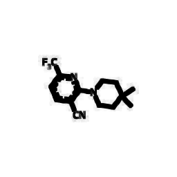 CC1(C)CCN(c2nc(C(F)(F)F)ccc2C#N)CC1